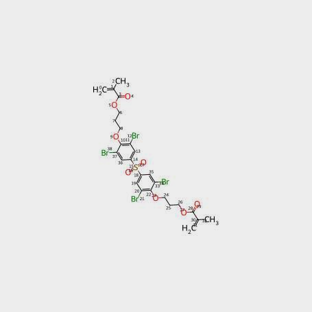 C=C(C)C(=O)OCCCOc1c(Br)cc(S(=O)(=O)c2cc(Br)c(OCCCOC(=O)C(=C)C)c(Br)c2)cc1Br